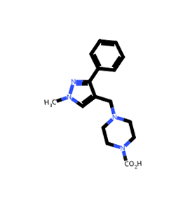 Cn1cc(CN2CCN(C(=O)O)CC2)c(-c2ccccc2)n1